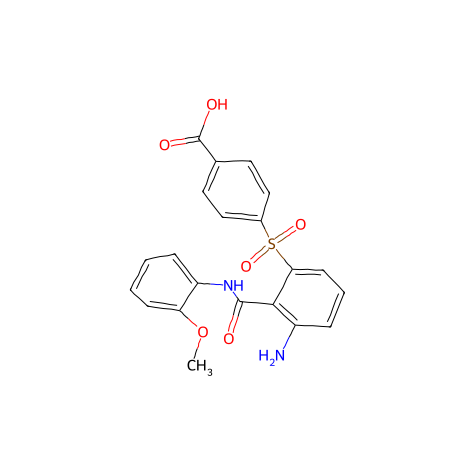 COc1ccccc1NC(=O)c1c(N)cccc1S(=O)(=O)c1ccc(C(=O)O)cc1